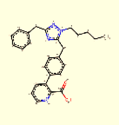 CCCCCn1nc(Cc2ccccc2)nc1Cc1ccc(-c2cccnc2C(=O)O)cc1